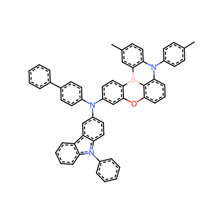 Cc1ccc(N2c3ccc(C)cc3B3c4ccc(N(c5ccc(-c6ccccc6)cc5)c5ccc6c(c5)c5ccccc5n6-c5ccccc5)cc4Oc4cccc2c43)cc1